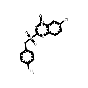 Cc1ccc(CS(=O)(=O)c2nc3ccc(Cl)cc3[n+]([O-])n2)cc1